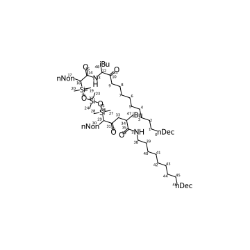 CCCCCCCCCCCCCCCCCCCC(=O)C(NC(=O)C(CCCCCCCCC)[Si](C)(C)O[Si](C)(C)O[Si](C)(C)C(CCCCCCCCC)C(=O)CC(C(=O)NCCCCCCCCCCCCCCCCCC)C(C)CC)C(C)CC